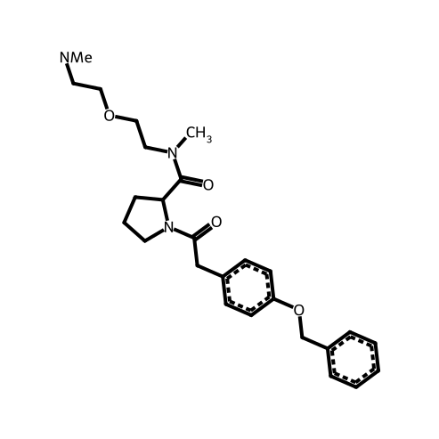 CNCCOCCN(C)C(=O)C1CCCN1C(=O)Cc1ccc(OCc2ccccc2)cc1